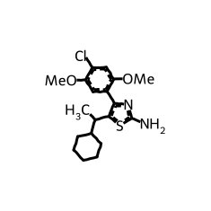 COc1cc(-c2nc(N)sc2C(C)C2CCCCC2)c(OC)cc1Cl